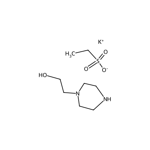 CCS(=O)(=O)[O-].OCCN1CCNCC1.[K+]